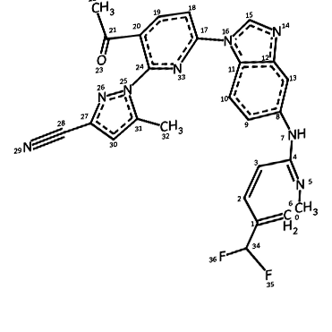 C=C(/C=C\C(=N/C)Nc1ccc2c(c1)ncn2-c1ccc(C(C)=O)c(-n2nc(C#N)cc2C)n1)C(F)F